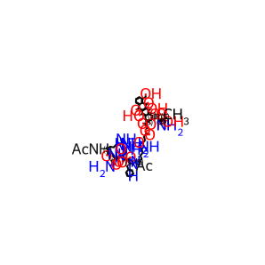 CC(=O)N[C@@H](CCCNC(=N)N)C(=O)N[C@@H](CC(N)=O)C(=O)NC(CC(N)=O)C(=O)C(=O)[C@H](Cc1ccccc1)NN[C@@H](CCCCNC(=O)CCC(=O)OCC(=O)[C@]1(O)Cc2c(O)c3c(c(O)c2[C@@H](O[C@H]2C[C@H](N)[C@H](O)[C@H](C)O2)C1)C(=O)c1c(CO)cccc1C3=O)C(C)=O